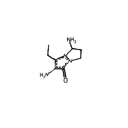 CCc1c(N)c(=O)n2n1C(N)CC2